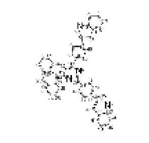 c1ccc2ncc(-c3ccc(-c4cc(-c5c6ccccc6cc6ccccc56)nc(-c5ccc(-c6cnc7ccccc7c6)cc5)n4)cc3)cc2c1